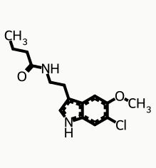 CCCC(=O)NCCc1c[nH]c2cc(Cl)c(OC)cc12